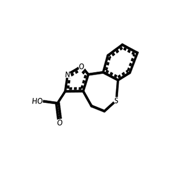 O=C(O)c1noc2c1CCSc1ccccc1-2